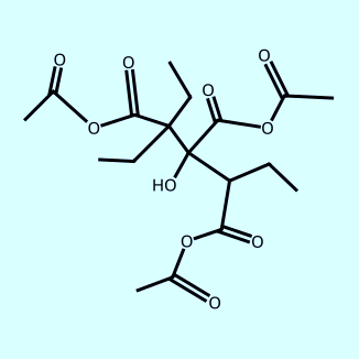 CCC(C(=O)OC(C)=O)C(O)(C(=O)OC(C)=O)C(CC)(CC)C(=O)OC(C)=O